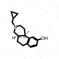 C[C@@]12CCN(CC3CC3)C[C@@H]1CCc1ccc(O)cc12